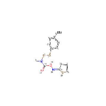 CN(SSc1ccc(C(C)(C)C)cc1)C(=O)ON=C1CC=CS1